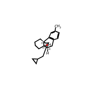 Cc1ccc2c(c1)[C@@]13CCCC[C@@]1(O)[C@@H](C2)N(CC1CC1)CC3